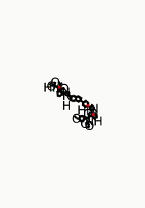 COC(=O)NC(C(=O)N1CCC[C@H]1c1ncc(-c2ccc3cc(-c4ccc(-c5cnc([C@@H]6CCCN6C(=O)[C@H](NC(=O)OC)c6ccc(OC)cc6)[nH]5)cc4)ccc3c2)[nH]1)C(C)C